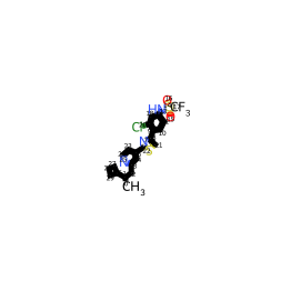 CC(Cc1cc(-c2nc(-c3ccc(NS(=O)(=O)C(F)(F)F)cc3Cl)cs2)ccn1)C1CCC1